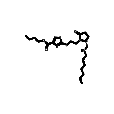 CCCCCCCNC[C@H]1CCC(=O)N1CCSc1nc(C(=O)OCCCC)cs1